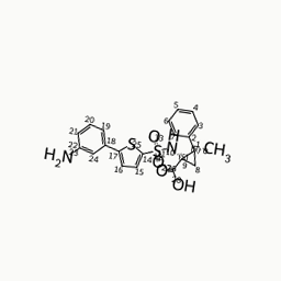 C[C@]1(c2ccccc2)C[C@@]1(NS(=O)(=O)c1ccc(-c2cccc(N)c2)s1)C(=O)O